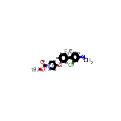 C=Nc1cc(Cl)c(-c2cccc(OC3CCN(C(=O)OC(C)(C)C)CC3)c2)c(C(F)(F)F)c1